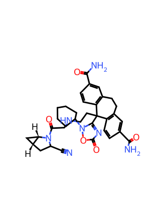 N#CC1C[C@@H]2C[C@@H]2N1C(=O)CNCCC1(c2nc(=O)on2C2CCCCC2)c2ccc(C(N)=O)cc2CCc2cc(C(N)=O)ccc21